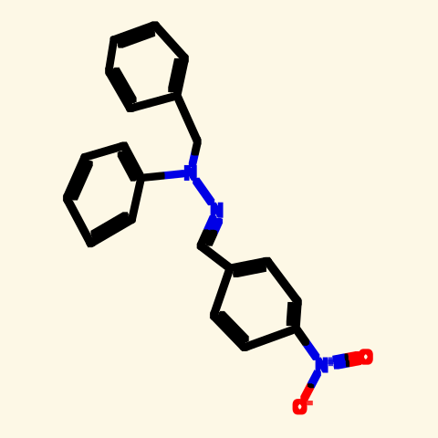 O=[N+]([O-])c1ccc(C=NN(Cc2ccccc2)c2ccccc2)cc1